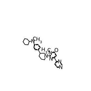 CN(c1ccc(C2CCCN(c3nc(-c4ccncn4)cc(=O)n3C)C2)cc1)C1CCCCC1